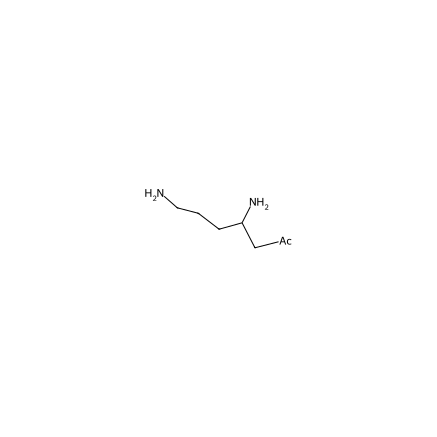 CC(=O)CC(N)CCCN